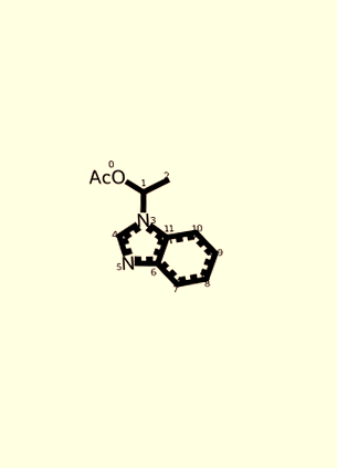 CC(=O)OC(C)n1cnc2ccccc21